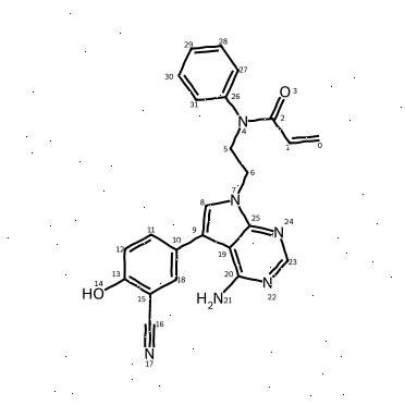 C=CC(=O)N(CCn1cc(-c2ccc(O)c(C#N)c2)c2c(N)ncnc21)c1ccccc1